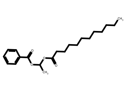 CCCCCCCCCCCC(=O)OC(C)OC(=O)c1ccccc1